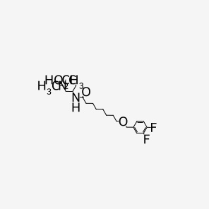 CN(C)CC(CC(=O)O)NC(=O)CCCCCCCOCc1ccc(F)c(F)c1